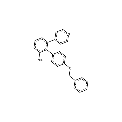 Nc1cccc(-c2ccncc2)c1-c1ccc(OCc2ccccc2)cc1